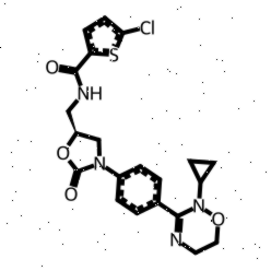 O=C(NC[C@H]1CN(c2ccc(C3=NCCON3C3CC3)cc2)C(=O)O1)c1ccc(Cl)s1